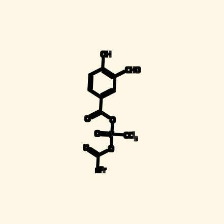 CCCC(=O)OP(=O)(OC(=O)c1ccc(O)c(C=O)c1)C(Cl)(Cl)Cl